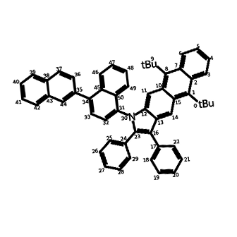 CC(C)(C)c1c2ccccc2c(C(C)(C)C)c2cc3c(cc12)c(-c1ccccc1)c(-c1ccccc1)n3-c1ccc(-c2ccc3ccccc3c2)c2ccccc12